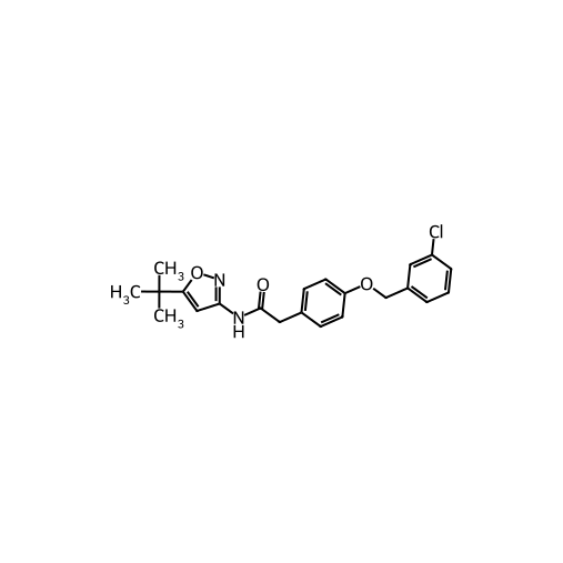 CC(C)(C)c1cc(NC(=O)Cc2ccc(OCc3cccc(Cl)c3)cc2)no1